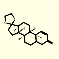 C[C@]12C=CC(=O)CC1CC[C@@H]1[C@@H]2CC[C@@]2(C)[C@H]1CCC21OCCO1